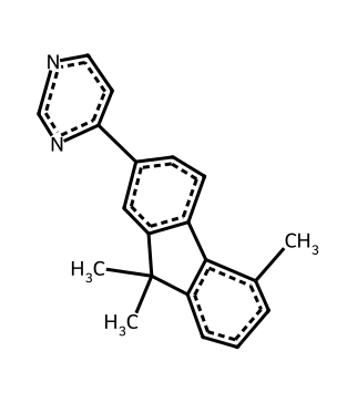 Cc1cccc2c1-c1ccc(-c3ccncn3)cc1C2(C)C